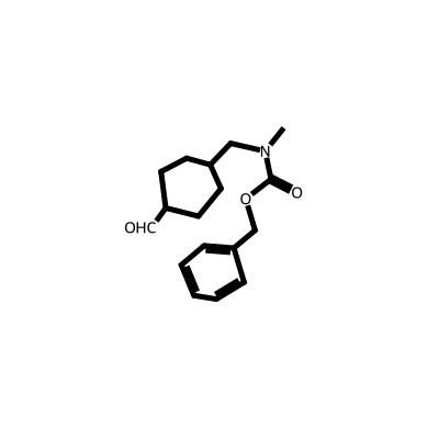 CN(CC1CCC(C=O)CC1)C(=O)OCc1ccccc1